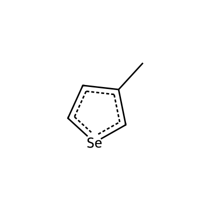 Cc1cc[se]c1